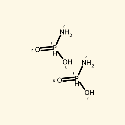 N[PH](=O)O.N[PH](=O)O